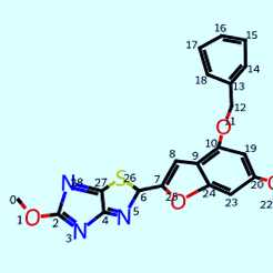 COC1=NC2=NC(c3cc4c(OCc5ccccc5)cc(OC)cc4o3)SC2=N1